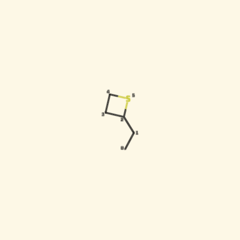 CCC1CCS1